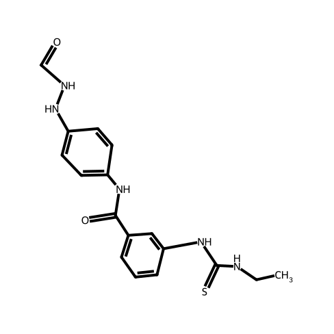 CCNC(=S)Nc1cccc(C(=O)Nc2ccc(NNC=O)cc2)c1